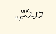 C=CCC(CC=O)Oc1ccccc1